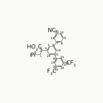 CC(C)CC(C(=O)O)c1cc(-c2cccc(C#N)c2)cc(-c2cc(C(F)(F)F)cc(C(F)(F)F)c2)c1